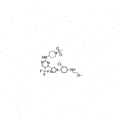 COCCNc1ccc(-n2cnc(-c3nc(NC4CCN(S(C)(=O)=O)CC4)ncc3C(F)(F)F)c2)c(Cl)c1